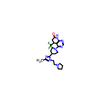 Cc1cn(CCN2CCCC2)c(C2CCN(c3ncnc4c3C(C(F)(F)F)CC(=O)N4)CC2)n1